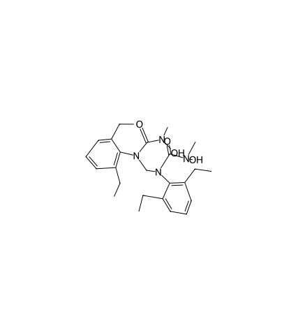 CCc1cccc(CC)c1N(CN(C(=O)N(C)O)c1c(CC)cccc1CC)C(=O)N(C)O